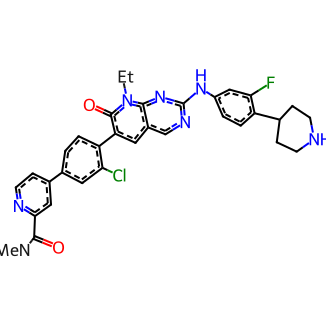 CCn1c(=O)c(-c2ccc(-c3ccnc(C(=O)NC)c3)cc2Cl)cc2cnc(Nc3ccc(C4CCNCC4)c(F)c3)nc21